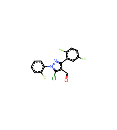 O=Cc1c(-c2cc(F)ccc2F)nn(-c2ccccc2F)c1Cl